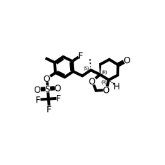 Cc1cc(F)c(C[C@H](C)[C@]23CCC(=O)C[C@H]2OCO3)cc1OS(=O)(=O)C(F)(F)F